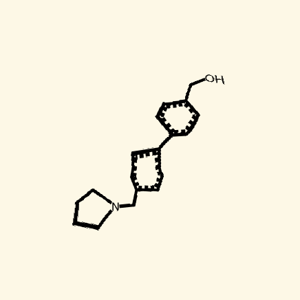 OCc1ccc(-c2ccc(CN3CCCC3)cc2)cc1